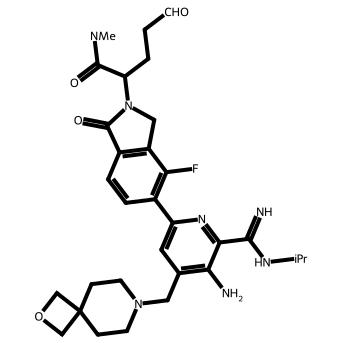 CNC(=O)C(CCC=O)N1Cc2c(ccc(-c3cc(CN4CCC5(CC4)COC5)c(N)c(C(=N)NC(C)C)n3)c2F)C1=O